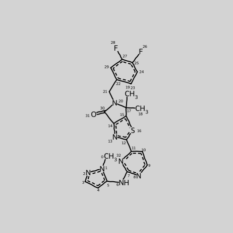 Cn1nccc1Nc1nccc(-c2nc3c(s2)C(C)(C)N(Cc2ccc(F)c(F)c2)C3=O)n1